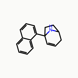 C1=CC2(c3cccc4ccccc34)CCC(C1)N2